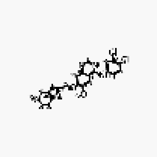 COc1cc2c(Nc3ccc(Cl)c(Cl)c3)ncnc2cc1OCc1nc2c(s1)CN(C)CC2